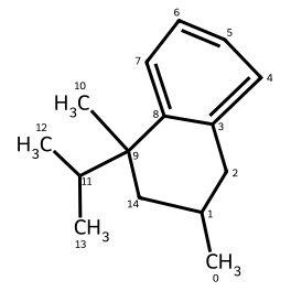 CC1Cc2ccccc2C(C)(C(C)C)C1